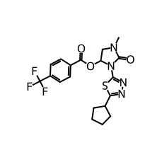 CN1CC(OC(=O)c2ccc(C(F)(F)F)cc2)N(c2nnc(C3CCCC3)s2)C1=O